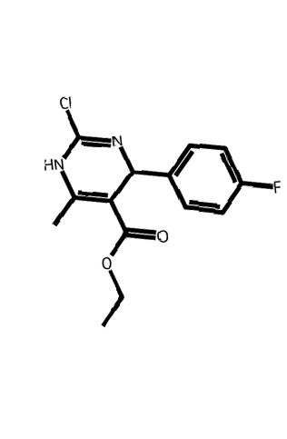 CCOC(=O)C1=C(C)NC(Cl)=NC1c1ccc(F)cc1